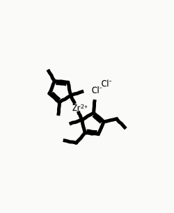 CCC1=CC(CC)=C(C)[C]1(C)[Zr+2][C]1(C)C=C(C)C=C1C.[Cl-].[Cl-]